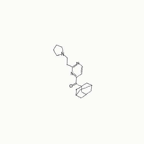 O=C(c1ccnc(CCN2CCCC2)n1)C12CC3CC(CC(C3)C1)C2